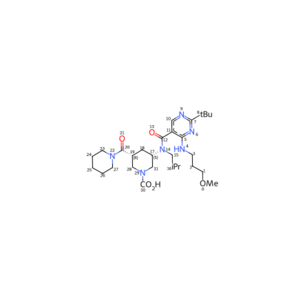 COCCCNc1nc(C(C)(C)C)ncc1C(=O)N(CC(C)C)[C@H]1C[C@@H](C(=O)N2CCCCC2)CN(C(=O)O)C1